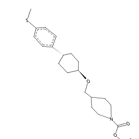 CSc1ccc([C@H]2CC[C@H](OCC3CCN(C(=O)OC(C)(C)C)CC3)CC2)cc1